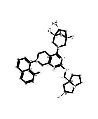 O[C@@H]1C[C@@H]2CN(c3nc(OC[C@@]45CCCN4C[C@H](F)C5)nc4c3CCN(c3cccc5cccc(Cl)c35)C4)C[C@H]1N2